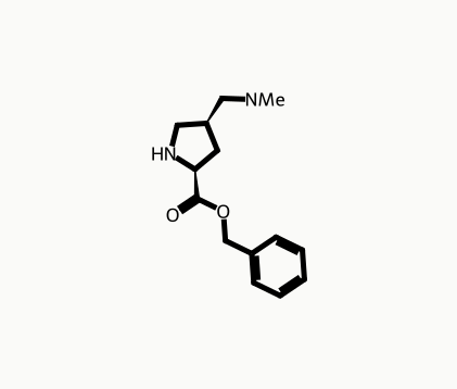 CNC[C@@H]1CN[C@H](C(=O)OCc2ccccc2)C1